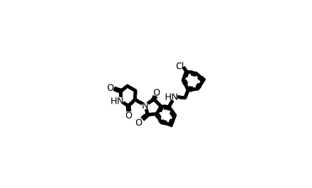 O=C1CCC(N2C(=O)c3cccc(NCc4cccc(Cl)c4)c3C2=O)C(=O)N1